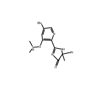 CC(C)C1(C)NC(c2ncc(C(C)(C)C)cc2O[SiH](C)C)=NC1=O